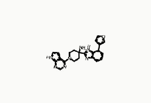 NC1(c2nc3cccc(-c4ccoc4)c3[nH]2)CCN(c2ncnc3[nH]ccc23)CC1